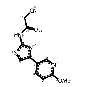 COc1ccc(-c2csc(NC(=O)CC#N)n2)cn1